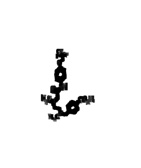 CN(CCN(C)Cc1ccc(C(=O)O)cc1)CC(=O)Nc1ccc(OCC(F)(F)C(F)(F)F)cc1